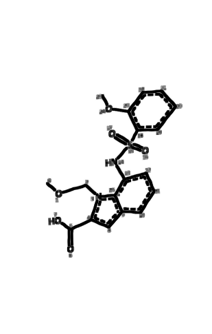 COCn1c(C(=O)O)cc2cccc(NS(=O)(=O)c3ccccc3OC)c21